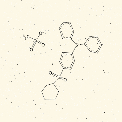 O=S(=O)([O-])C(F)(F)F.O=S(=O)(c1ccc([S+](c2ccccc2)c2ccccc2)cc1)C1CCCCC1